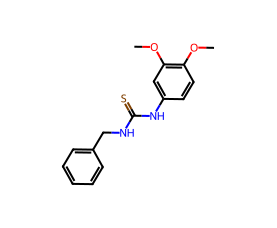 COc1ccc(NC(=S)NCc2ccccc2)cc1OC